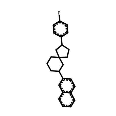 Fc1ccc(C2CCC3(CCCC(c4ccc5ccccc5c4)C3)C2)cc1